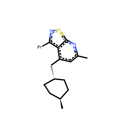 Cc1cc(C[C@H]2CC[C@H](C)CC2)c2c(C(C)C)nsc2n1